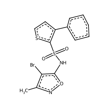 Cc1noc(NS(=O)(=O)c2sccc2-c2ccccc2)c1Br